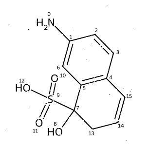 Nc1ccc2c(c1)C(O)(S(=O)(=O)O)CC=C2